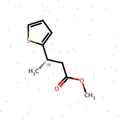 COC(=O)C[C@H](C)c1cccs1